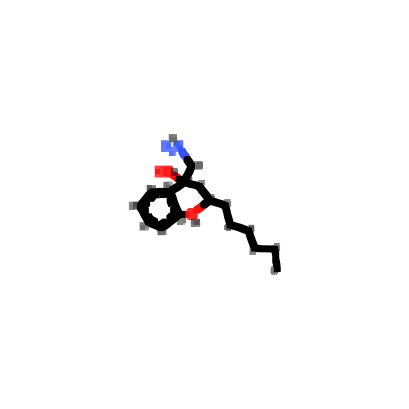 CCCCCCC1CC(O)(CN)c2ccccc2O1